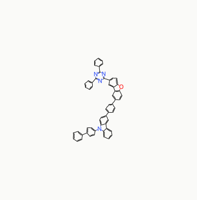 c1ccc(-c2ccc(-n3c4ccccc4c4cc(-c5ccc(-c6ccc7oc8ccc(-c9nc(-c%10ccccc%10)nc(-c%10ccccc%10)n9)cc8c7c6)cc5)ccc43)cc2)cc1